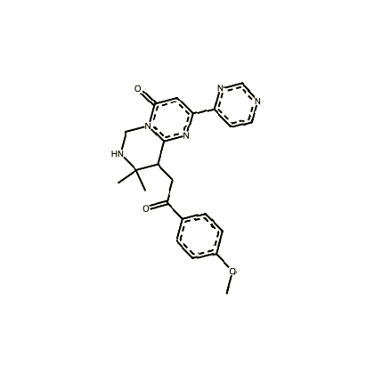 COc1ccc(C(=O)CC2c3nc(-c4ccncn4)cc(=O)n3CNC2(C)C)cc1